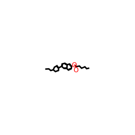 CCCCCC(=O)Oc1ccc2cc(C3=CCC(CCC)CC3)ccc2c1